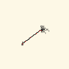 CCO[Si](CCCCCCCCCCCCCCCCCCCCCCCCN=C=O)(OCC)OCC